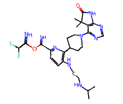 CC(C)NCCNc1ccc(C(=N)OC(=N)C(F)F)nc1C1CCN(c2ncnc3c2C(C)(C)C(=O)N3)CC1